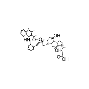 CC(=O)c1c(C)nc2ccccc2c1NCc1ccccc1C#C[C@@]1(O)CC[C@@]2(C)C(C[C@@H](O)C3C2C[C@H](O)[C@@]2(C)C3CC[C@@H]2C(C)CCC(=O)O)C1